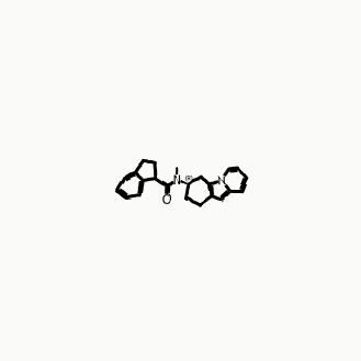 CN(C(=O)C1CCc2ccccc21)[C@@H]1CCc2[c]c3ccccn3c2C1